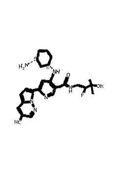 CC(C)(O)C(F)CNC(=O)c1cnc(-c2ccc3cc(C#N)cnn23)cc1N[C@H]1CCC[C@@H](N)C1